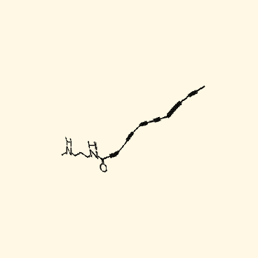 CC#CC#CC#CC#CC#CC#CC(=O)NCCCNC